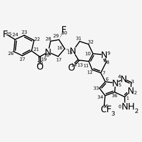 Nc1ncnn2c(-c3cnc4c(c3)C(=O)N([C@@H]3CN(C(=O)c5ccc(F)cc5)C[C@@H]3F)CC4)cc(C(F)(F)F)c12